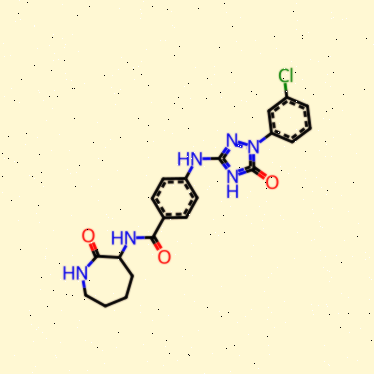 O=C(NC1CCCCNC1=O)c1ccc(Nc2nn(-c3cccc(Cl)c3)c(=O)[nH]2)cc1